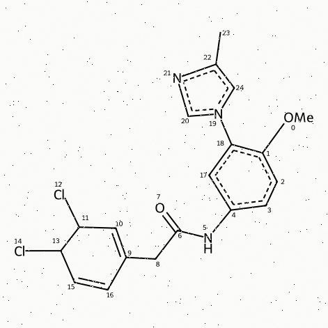 COc1ccc(NC(=O)CC2=CC(Cl)C(Cl)C=C2)cc1-n1cnc(C)c1